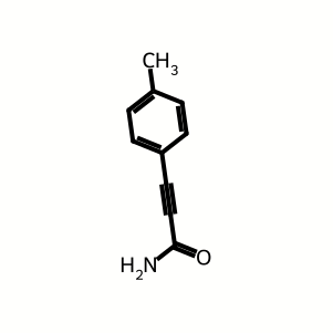 Cc1ccc(C#CC(N)=O)cc1